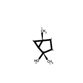 C[C@@]12CC[C@](C)(O)C1C2